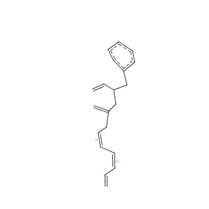 C=C/C=C\C=C/CC(=C)CC(C=C)Cc1ccccc1